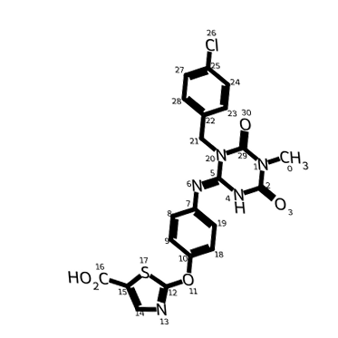 Cn1c(=O)[nH]/c(=N\c2ccc(Oc3ncc(C(=O)O)s3)cc2)n(Cc2ccc(Cl)cc2)c1=O